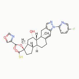 C[C@]12Cc3cnn(-c4ccc(F)cn4)c3C=C1CC[C@@H]1[C@@H]2[C@@H](O)C[C@@]2(C)[C@H]1CC[C@]2(OC(=O)c1cocn1)C(=O)S